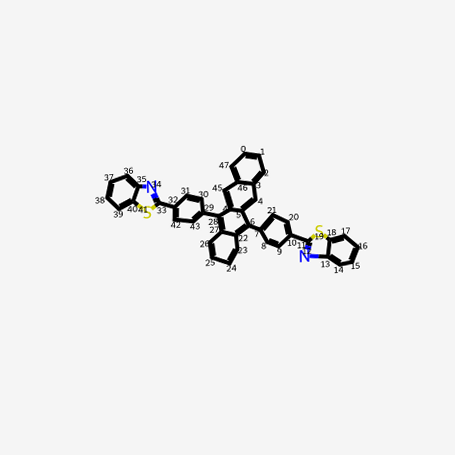 c1ccc2cc3c(-c4ccc(-c5nc6ccccc6s5)cc4)c4ccccc4c(-c4ccc(-c5nc6ccccc6s5)cc4)c3cc2c1